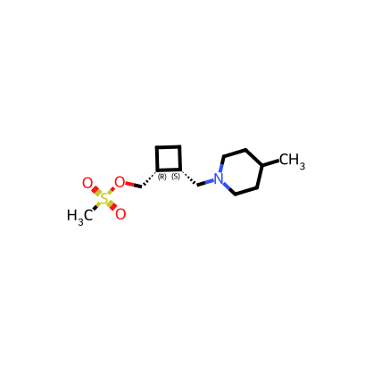 CC1CCN(C[C@H]2CC[C@H]2COS(C)(=O)=O)CC1